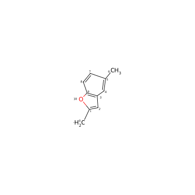 [CH2]c1cc2cc(C)ccc2o1